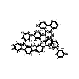 c1ccc(-c2ccc(-c3nc(-c4ccccc4-c4ccccc4)nc(-c4ccccc4-n4c5ccccc5c5ccc6c7ccc8c9ccccc9n(-c9ccccc9)c8c7oc6c54)n3)cc2)cc1